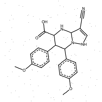 COc1ccc(C2C(C(=O)O)NC3C(C#N)=CNN3C2c2ccc(OC)cc2)cc1